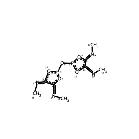 C/N=c1\op(Op2oc(=N\C)/c(=N\C)o2)o\c1=N\C